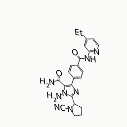 CCc1ccnc(NC(=O)c2ccc(-c3nc(C4CCCN4C#N)n(N)c3C(N)=O)cc2)c1